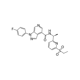 CCS(=O)(=O)c1cccc([C@H](C)NC(=O)c2cncc3c2cnn3-c2ccc(F)cc2)n1